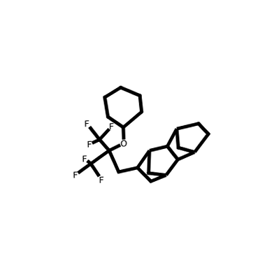 FC(F)(F)C(CC1CC2CC1C1C3CCC(C3)C21)(OC1CCCCC1)C(F)(F)F